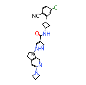 N#Cc1ccc(Cl)cc1[C@H]1C[C@@H](NC(=O)c2cnn([C@@H]3CCc4cc(N5CCC5)ncc43)c2)C1